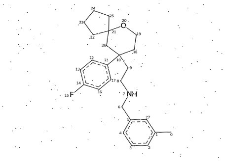 Cc1cccc(CNCCC2(c3ccc(F)cc3)CCOC3(CCCC3)C2)c1